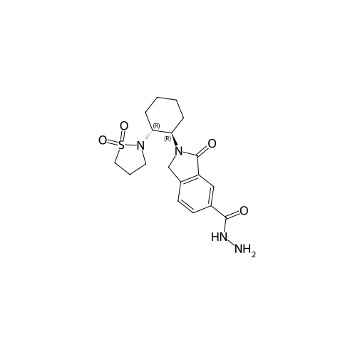 NNC(=O)c1ccc2c(c1)C(=O)N([C@@H]1CCCC[C@H]1N1CCCS1(=O)=O)C2